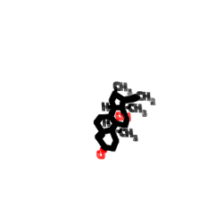 C=C=C1[C@@H](C)C[C@H]2[C@@H]3CCC4=CC(=O)CC[C@]4(C)[C@@]3(O)CC[C@]12C